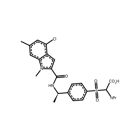 CCCC(C(=O)O)S(=O)(=O)c1ccc([C@@H](C)NC(=O)c2cc3c(Cl)cc(C)cc3n2C)cc1